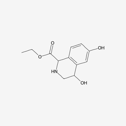 CCOC(=O)C1NCC(O)c2cc(O)ccc21